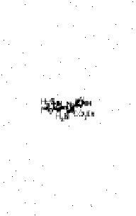 CCOC(=O)c1c(-c2cn[nH]c2)nn(-c2cc(OC(F)F)n(C)n2)c1N